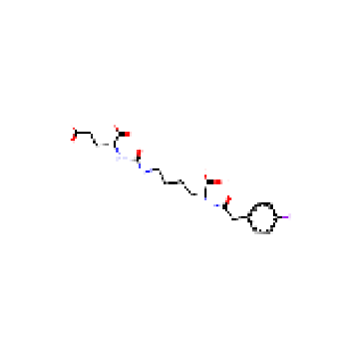 O=C(O)CC[C@H](NC(=O)NCCCC[C@H](NC(=O)Cc1ccc(I)cc1)C(=O)O)C(=O)O